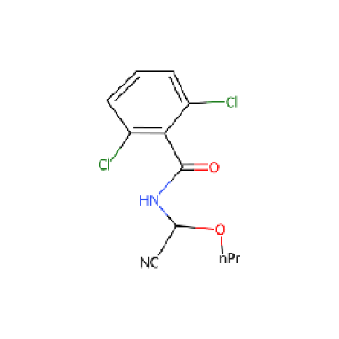 CCCOC(C#N)NC(=O)c1c(Cl)cccc1Cl